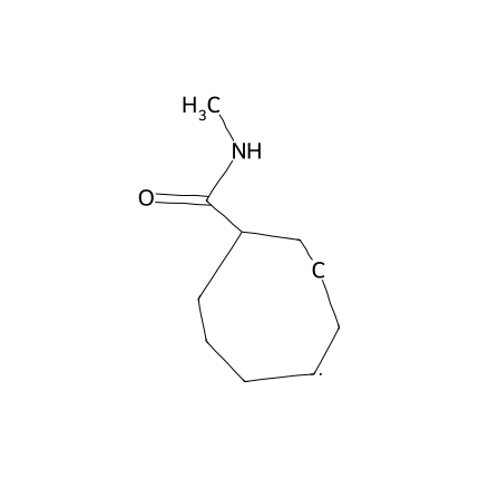 CNC(=O)C1CCC[CH]CCC1